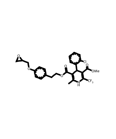 COC(=O)C1=C(C(F)(F)F)NC(C)=C(C(=O)OCCc2ccc(OCC3CO3)cc2)C1c1ccccc1Cl